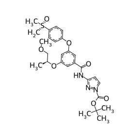 C=S(C)(=O)c1ccc(Oc2cc(O[C@@H](C)COC)cc(C(=O)Nc3ccn(C(=O)OC(C)(C)C)n3)c2)cc1